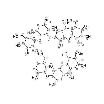 CCN[C@@H]1C[C@H](N)[C@@H](OC2OC(CN)=CCC2N)[C@H](O)[C@H]1O[C@H]1OC[C@](C)(O)[C@H](NC)[C@H]1O.NC[C@@H]1O[C@H](O[C@H]2[C@@H](O)[C@H](O[C@@H]3[C@@H](O)[C@H](N)C[C@H](N)[C@H]3O[C@H]3O[C@H](CO)[C@@H](O)[C@H](O)[C@H]3N)O[C@@H]2CO)[C@H](N)[C@@H](O)[C@@H]1O